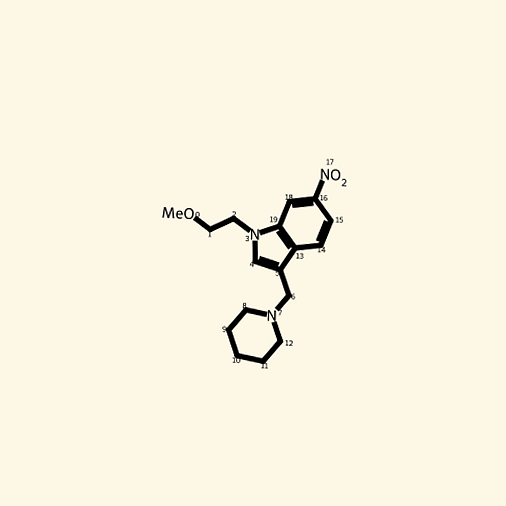 COCCn1cc(CN2CCCCC2)c2ccc([N+](=O)[O-])cc21